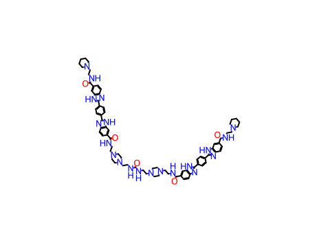 O=C(NCCN1CCN(CCNC(=O)c2ccc3nc(-c4ccc(-c5nc6ccc(C(=O)NCCN7CCCCC7)cc6[nH]5)cc4)[nH]c3c2)CC1)NCCN1CCN(CCNC(=O)c2ccc3nc(-c4ccc(-c5nc6ccc(C(=O)NCCN7CCCCC7)cc6[nH]5)cc4)[nH]c3c2)CC1